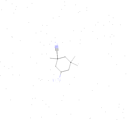 CC1(C)CC(N)CC(C)(C#N)C1